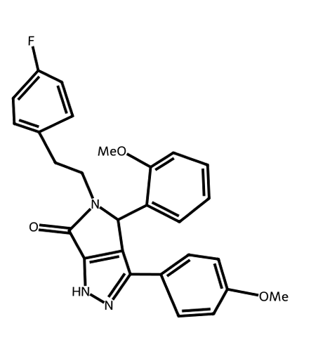 COc1ccc(-c2n[nH]c3c2C(c2ccccc2OC)N(CCc2ccc(F)cc2)C3=O)cc1